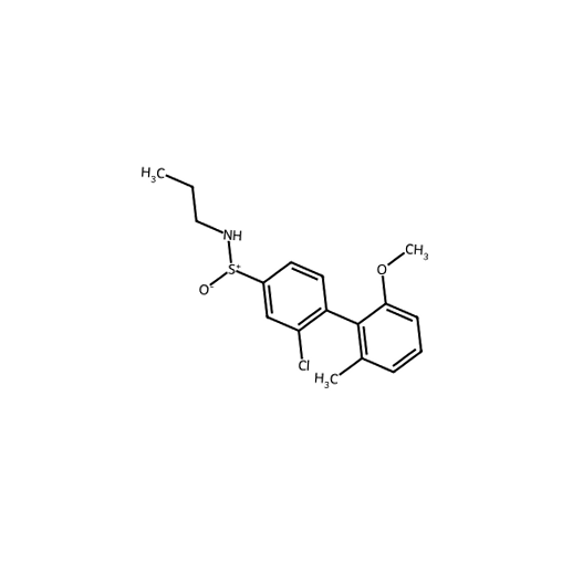 CCCN[S+]([O-])c1ccc(-c2c(C)cccc2OC)c(Cl)c1